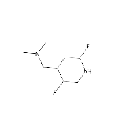 CN(C)CC1CC(F)NCC1F